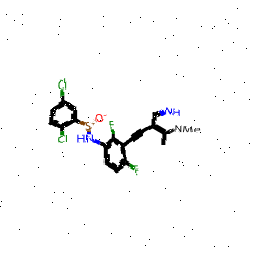 CN/C(C)=C(/C#Cc1c(F)ccc(N[S+]([O-])c2cc(Cl)ccc2Cl)c1F)C=N